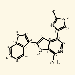 Cc1nc(-c2cnc(N)c3oc(-c4csc5cnccc45)cc23)cs1